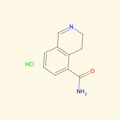 Cl.NC(=O)c1cccc2c1CCN=C2